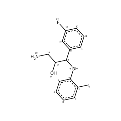 Cc1ccccc1NC(c1cccc(F)c1)C(O)CN